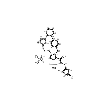 CCCc1nc(C(C)(C)O)c(C(=O)OCc2oc(=O)oc2C)n1Cc1ccc(-c2ccccc2-c2nn[nH]n2)cc1.CS(=O)(=O)O